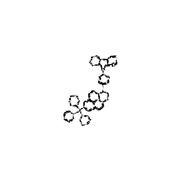 c1ccc(C(c2ccccc2)(c2ccccc2)c2cc3ccc4ccc(-c5ccc(-n6c7ccccc7c7ccccc76)cc5)c5ccc(c2)c3c45)cc1